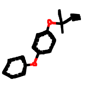 C#CC(C)(C)Oc1ccc(Oc2ccccc2)cc1